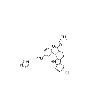 CCOC(=O)N1CCc2c([nH]c3ccc(Cl)cc23)C1c1cccc(OCCCn2ccnc2)c1